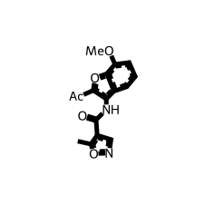 COc1cccc2c(NC(=O)c3cnoc3C)c(C(C)=O)oc12